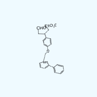 CCOC(=O)CC(CC=O)c1ccc(OCc2cccc(-c3ccccc3)c2)cc1